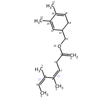 C=C(C/C=C(C)\C(C)=C/C)OCC1C=C(C)C(C)=CC1